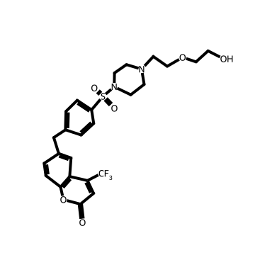 O=c1cc(C(F)(F)F)c2cc(Cc3ccc(S(=O)(=O)N4CCN(CCOCCO)CC4)cc3)ccc2o1